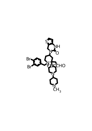 CN1CCC(N2CCN(C3(CC=O)CC(N4Cc5sccc5NC4=O)CC[N@+]3(Cc3ccc(Br)c(Br)c3)C(=O)[O-])CC2)CC1